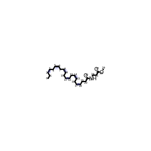 CC/C=C\C/C=C\C/C=C\C/C=C\C/C=C\C/C=C\CCC(=O)NCCC(=O)OC